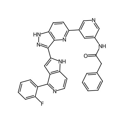 O=C(Cc1ccccc1)Nc1cncc(-c2ccc3[nH]nc(-c4cc5c(-c6ccccc6F)nccc5[nH]4)c3n2)c1